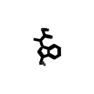 COC(=O)C(C)n1cc(N)c2ccccc21